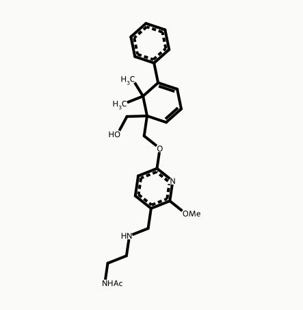 COc1nc(OCC2(CO)C=CC=C(c3ccccc3)C2(C)C)ccc1CNCCNC(C)=O